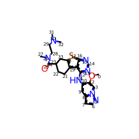 COc1cn2nccc2cc1Nc1ncnc2sc3c(c12)CCC(C(=O)N(C)CCN(C)C)C3